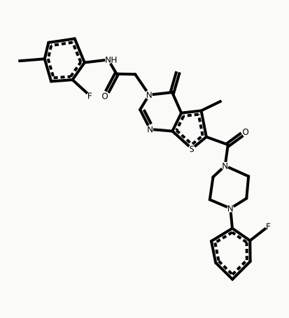 C=C1c2c(sc(C(=O)N3CCN(c4ccccc4F)CC3)c2C)N=CN1CC(=O)Nc1ccc(C)cc1F